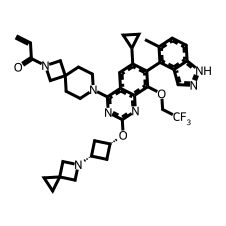 C=CC(=O)N1CC2(CCN(c3nc(O[C@H]4C[C@@H](N5CC6(CC6)C5)C4)nc4c(OCC(F)(F)F)c(-c5c(C)ccc6[nH]ncc56)c(C5CC5)cc34)CC2)C1